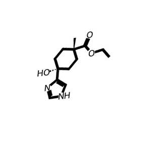 CCOC(=O)[C@]1(C)CC[C@@](O)(c2c[nH]cn2)CC1